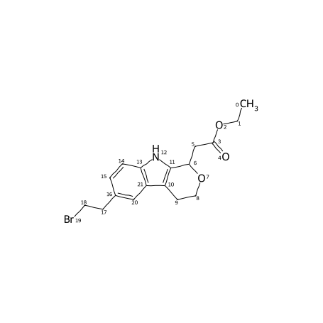 CCOC(=O)CC1OCCc2c1[nH]c1ccc(CCBr)cc21